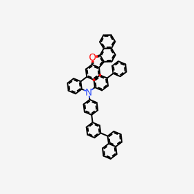 c1ccc(-c2ccc(N(c3ccc(-c4cccc(-c5cccc6ccccc56)c4)cc3)c3ccccc3-c3ccc4c(c3)oc3c5ccccc5ccc43)cc2)cc1